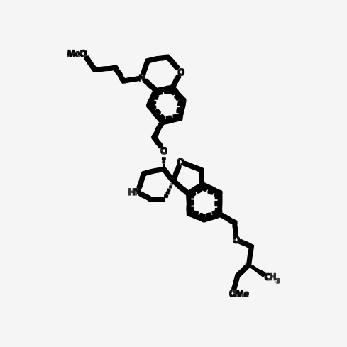 COCCCN1CCOc2ccc(CO[C@H]3CNCC[C@@]34OCc3cc(COC[C@@H](C)COC)ccc34)cc21